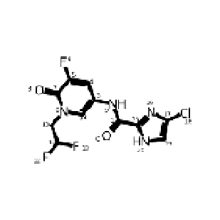 O=C(Nc1cc(F)c(=O)n(CC(F)F)c1)c1nc(Cl)c[nH]1